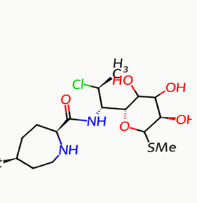 CCCCC[C@@H]1CCN[C@H](C(=O)N[C@H]([C@H](C)Cl)[C@H]2OC(SC)[C@H](O)C(O)C2O)CC1